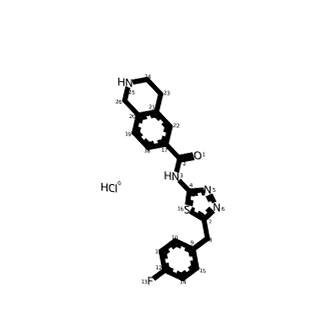 Cl.O=C(Nc1nnc(Cc2ccc(F)cc2)s1)c1ccc2c(c1)CCNC2